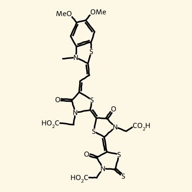 COc1cc2c(cc1OC)N(C)C(=CC=c1s/c(=c3/s/c(=C4/SC(=S)N(CC(=O)O)C4=O)n(CC(=O)O)c3=O)n(CC(=O)O)c1=O)S2